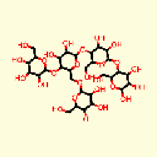 OCC1OC(OCC2OC(OC3C(CO)OC(OC4C(CO)OC(O)C(O)C4O)C(O)C3O)C(O)C(O)C2OC2OC(CO)C(O)C(O)C2O)C(O)C(O)C1O